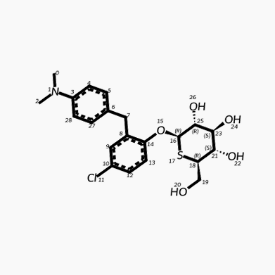 CN(C)c1ccc(Cc2cc(Cl)ccc2O[C@@H]2S[C@H](CO)[C@@H](O)[C@H](O)[C@H]2O)cc1